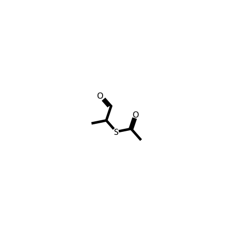 CC(=O)SC(C)C=O